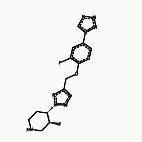 Fc1cc(-n2cnnn2)ccc1OCc1cnn([C@H]2CCNC[C@@H]2F)n1